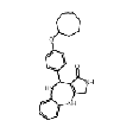 O=C1NCC2=C1C(c1ccc(OC3CCCCCC3)cc1)Nc1ccccc1N2